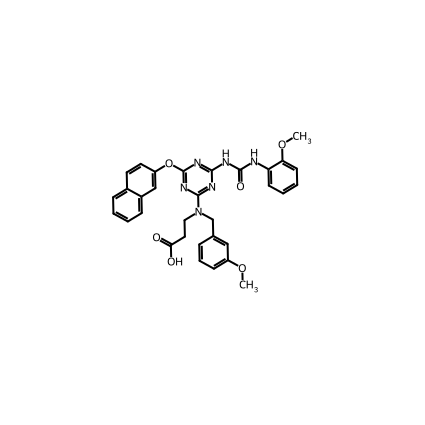 COc1cccc(CN(CCC(=O)O)c2nc(NC(=O)Nc3ccccc3OC)nc(Oc3ccc4ccccc4c3)n2)c1